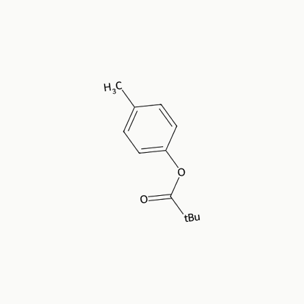 Cc1ccc(OC(=O)C(C)(C)C)cc1